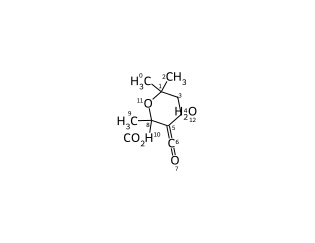 CC1(C)CCC(=C=O)C(C)(C(=O)O)O1.O